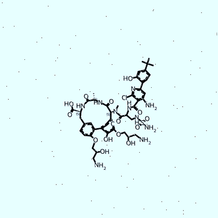 C[C@@H]1NC(=O)[C@@H](N(C)C(=O)C(CNS(N)(=O)=O)NC(=O)c2c(N)cc(-c3ccc(C(C)(C)C)cc3O)nc2Cl)c2cc(OCC(O)CN)c(O)c(c2)-c2cc(ccc2OCC(O)CN)C[C@@H](C(=O)O)NC1=O